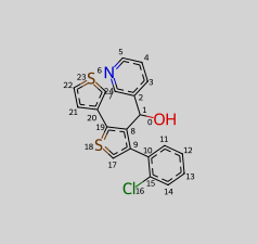 OC(c1cccnc1)c1c(-c2ccccc2Cl)csc1-c1ccsc1